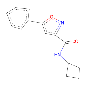 O=C(NC1CCC1)c1cc(-c2ccccc2)on1